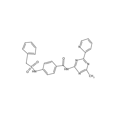 Cc1nc(NC(=O)c2ccc(NS(=O)(=O)Cc3ccccc3)cc2)nc(-c2ccccn2)n1